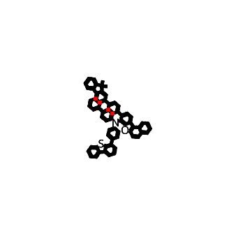 CC1(C)c2ccccc2-c2ccc(-c3ccc(-c4ccc5c(oc6ccc7ccccc7c65)c4N(c4ccc(-c5ccccc5)cc4)c4ccc(-c5cccc6c5sc5ccccc56)cc4)cc3)cc21